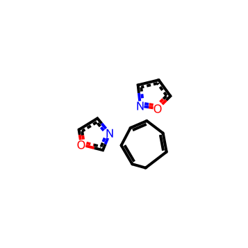 C1=CC=CCC=C1.c1cnoc1.c1cocn1